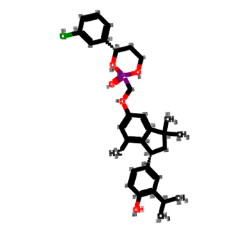 Cc1cc(OCP2(=O)OCC[C@@H](c3cccc(Cl)c3)O2)cc2c1[C@@H](c1ccc(O)c(C(C)C)c1)CC2(C)C